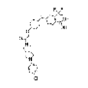 O=C(COC1CCC(Nc2ccc(N(O)O)c(C(F)(F)F)c2)CC1)N1CC2CN(c3ccc(Cl)cc3)CC2C1